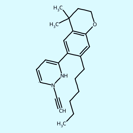 C#CN1[C]=CC=C(c2cc3c(cc2CCCCCC)OCCC3(C)C)N1